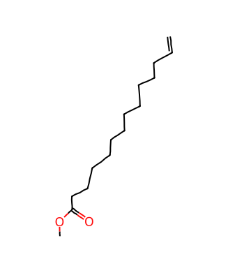 C=CCCCCCCCCCCCC(=O)OC